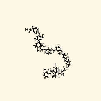 CC(C)C[C@H](NC(=O)[C@@H](O)[C@H](C)Cc1ccccc1)C(=O)NCCCN1CC[C@]2(CCN(CC(=O)NCc3cccc(CNc4cc(N5CCC6(CC5)CN(c5cc(F)c(CN7CCC(C)(C)CC7)cc5F)CC(=O)N6)ncn4)c3)C2)C1